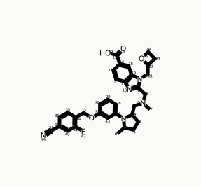 CC1CCC(CN(C)Cc2nc3ccc(C(=O)O)cc3n2CC2CCO2)N1c1cccc(OCc2ccc(C#N)cc2F)c1